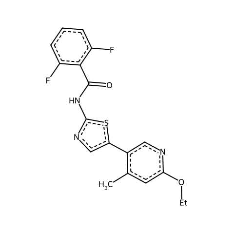 CCOc1cc(C)c(-c2cnc(NC(=O)c3c(F)cccc3F)s2)cn1